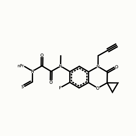 C#CCN1C(=O)C2(CC2)Oc2cc(F)c(N(C)C(=O)C(=O)N(C=S)CCC)cc21